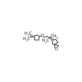 CC(C)N1CCC(OCCC(C)(C)N2CCC3(COC3)C2)C1